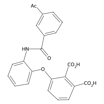 CC(=O)c1cccc(C(=O)Nc2ccccc2Oc2cccc(C(=O)O)c2C(=O)O)c1